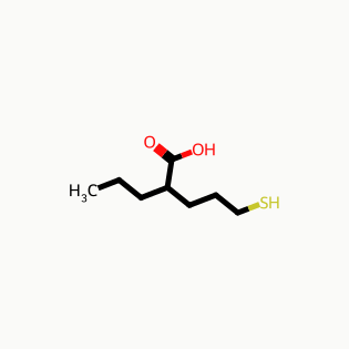 CCCC(CCCS)C(=O)O